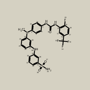 CN(c1ccc(NC(=O)Nc2cc(C(F)(F)F)ccc2F)cc1)c1cccc(Nc2cccc(S(N)(=O)=O)c2)c1